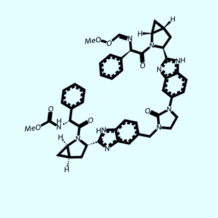 COO/C=N\[C@@H](C(=O)N1[C@@H]2C[C@@H]2C[C@H]1c1nc2cc(N3CCN(Cc4ccc5[nH]c([C@@H]6C[C@H]7C[C@H]7N6C(=O)[C@H](NC(=O)OC)c6ccccc6)nc5c4)C3=O)ccc2[nH]1)c1ccccc1